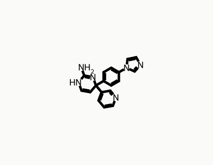 NC1=NC(c2ccc(-n3ccnc3)cc2)(c2cccnc2)C=CN1